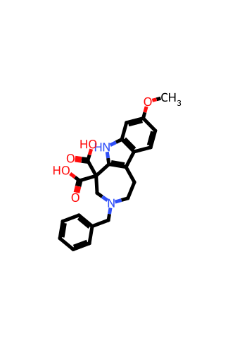 COc1ccc2c3c([nH]c2c1)C(C(=O)O)(C(=O)O)CN(Cc1ccccc1)CC3